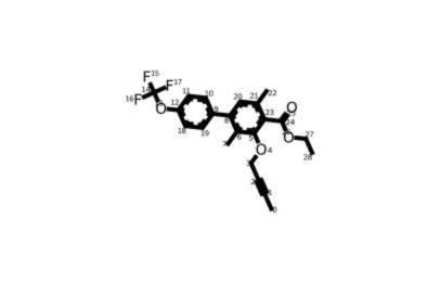 CC#CCOc1c(C)c(-c2ccc(OC(F)(F)F)cc2)cc(C)c1C(=O)OCC